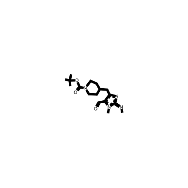 CN=c1sc(CC2CCN(C(=O)OC(C)(C)C)CC2)c(C=O)n1C